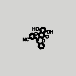 N#Cc1cccc(N2Cc3ccccc3OC3=C2C(=O)c2c(O)ccc(O)c2C3=O)c1